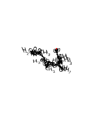 C=C1C[C@H]2C=Nc3cc(OCCCCCOc4cc5c(cc4OC)C(=O)N4CC(=C)C[C@H]4[C@H](O)N5C(=O)OCc4ccc(NC(=O)[C@H](CCCNC(N)=O)n5cc([C@@H](NC(=O)CCCCCN6C(=O)C=CC6=O)C(C)C)nn5)cc4)c(OC)cc3C(=O)N2C1